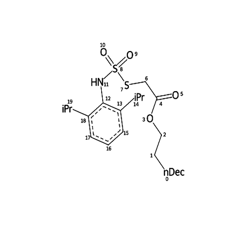 CCCCCCCCCCCCOC(=O)CSS(=O)(=O)Nc1c(C(C)C)cccc1C(C)C